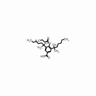 CCCCCC(C)(C)c1cc(C(=O)O)cc(C(C)(C)CCCCC)c1OC(=O)CCC